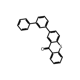 O=c1c2ccccc2sc2ccc(-c3cccc(-c4ccccc4)c3)cc12